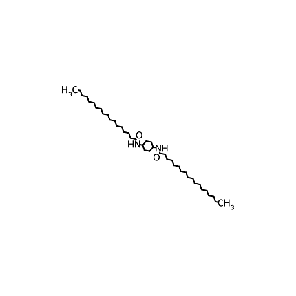 CCCCCCCCCCCCCCCCCC(=O)NC1CCC(NC(=O)CCCCCCCCCCCCCCCCC)CC1